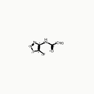 O=CC(=O)Nc1nnsc1F